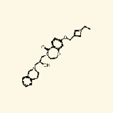 CCN1CC(COc2ccc3c(c2)OCCN(CC(O)CN2CCc4ccccc4C2)C3=O)C1